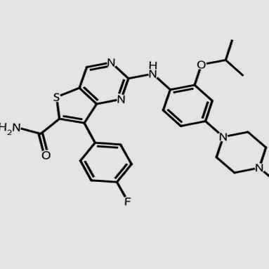 CC(C)Oc1cc(N2CCN(C)CC2)ccc1Nc1ncc2sc(C(N)=O)c(-c3ccc(F)cc3)c2n1